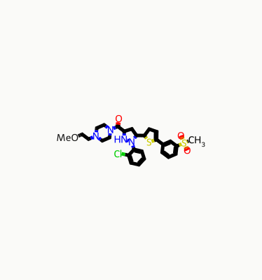 COCCN1CCN(C(=O)C2CC(C3CC=C(c4cccc(S(C)(=O)=O)c4)S3)N(c3ccccc3Cl)N2)CC1